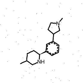 CC1CC[C@@H](c2cccc(C3CCN(C)C3)c2)NC1